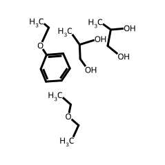 CC(O)CO.CC(O)CO.CCOCC.CCOc1ccccc1